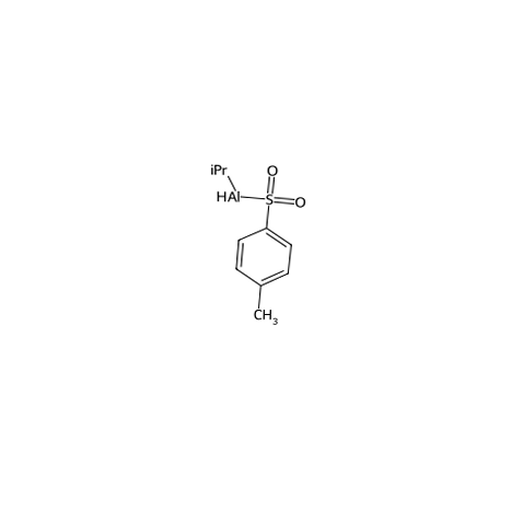 Cc1ccc([S](=O)(=O)[AlH][CH](C)C)cc1